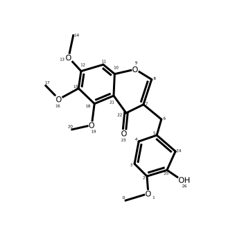 COc1ccc(Cc2coc3cc(OC)c(OC)c(OC)c3c2=O)cc1O